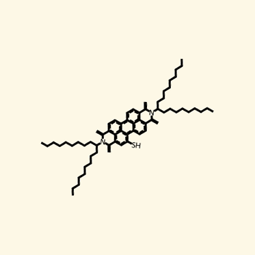 C=C1c2ccc3c4ccc5c6c(cc(S)c(c7ccc(c2c37)C(=C)N1C(CCCCCCCCC)CCCCCCCCC)c64)C(=C)N(C(CCCCCCCCC)CCCCCCCCC)C5=C